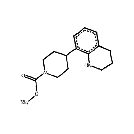 CC(C)(C)OC(=O)N1CCC(c2cccc3c2NCCC3)CC1